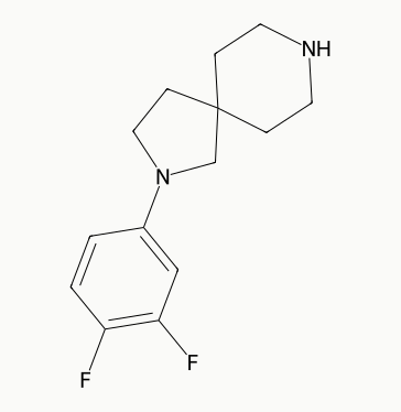 Fc1ccc(N2CCC3(CCNCC3)C2)cc1F